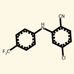 N#Cc1ccc(Cl)cc1Nc1ccc(C(F)(F)F)cc1